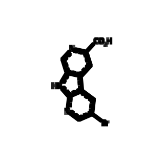 O=C(O)c1cc2c(cn1)[nH]c1ncc(Br)cc12